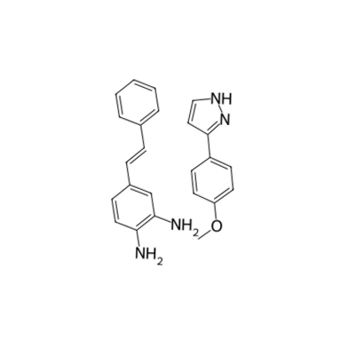 COc1ccc(-c2cc[nH]n2)cc1.Nc1ccc(C=Cc2ccccc2)cc1N